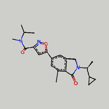 Cc1cc(-c2cc(C(=O)N(C)C(C)C)no2)cc2c1C(=O)N([C@@H](C)C1CC1)C2